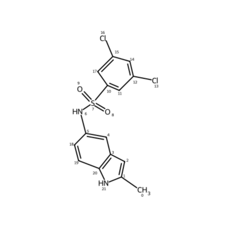 Cc1cc2cc(NS(=O)(=O)c3cc(Cl)cc(Cl)c3)ccc2[nH]1